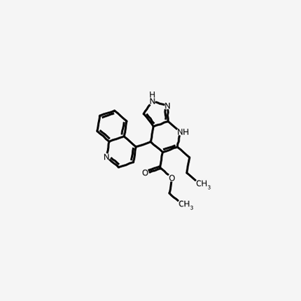 CCCC1=C(C(=O)OCC)C(c2ccnc3ccccc23)c2c[nH]nc2N1